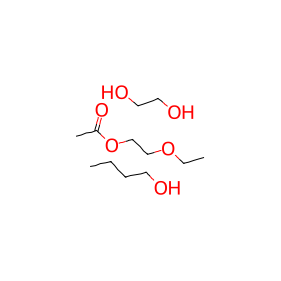 CCCCO.CCOCCOC(C)=O.OCCO